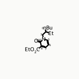 CCCCC(CC)Cn1cccc(C(=O)OCC)c1=O